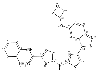 Nc1ccccc1NC(=O)c1ccc(Nc2nc(-c3cnc4ccc(OC5COC5)cn34)cs2)s1